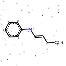 O=C(O)CC=CNc1ccccc1